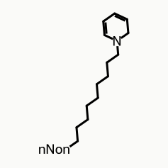 CCCCCCCCCCCCCCCCCCN1C=CC=CC1